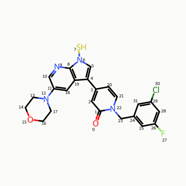 O=c1cc(-c2cn(S)c3ncc(N4CCOCC4)cc23)ccn1Cc1cc(F)cc(Cl)c1